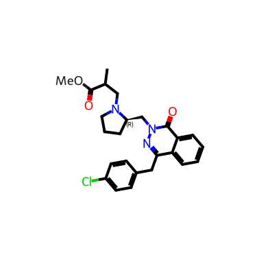 COC(=O)C(C)CN1CCC[C@@H]1Cn1nc(Cc2ccc(Cl)cc2)c2ccccc2c1=O